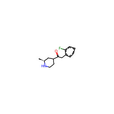 C[C@H]1CC(C(=O)Cc2ccccc2F)CCN1